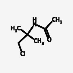 CC(=O)NC(C)(C)CCl